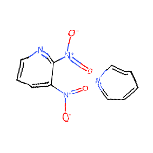 O=[N+]([O-])c1cccnc1[N+](=O)[O-].c1ccncc1